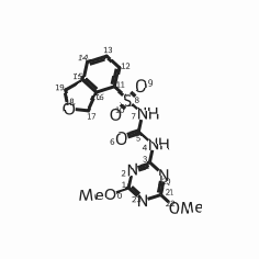 COc1nc(NC(=O)NS(=O)(=O)c2cccc3c2COC3)nc(OC)n1